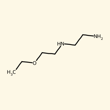 CCOCCNCCN